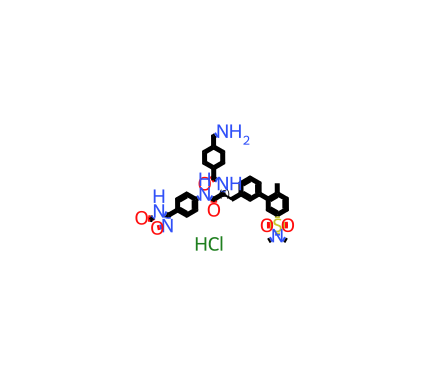 Cc1ccc(S(=O)(=O)N(C)C)cc1-c1cccc(C[C@H](NC(=O)C2CCC(CN)CC2)C(=O)Nc2ccc(-c3noc(=O)[nH]3)cc2)c1.Cl